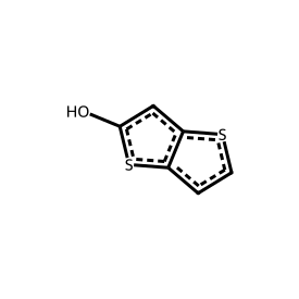 Oc1cc2sccc2s1